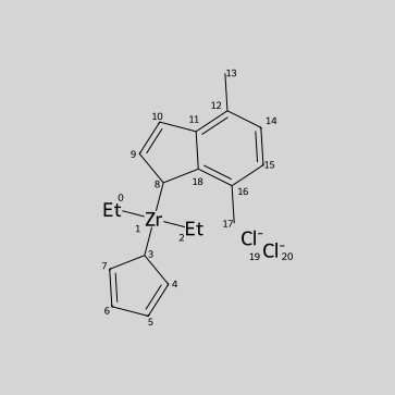 C[CH2][Zr]([CH2]C)([CH]1C=CC=C1)[CH]1C=Cc2c(C)ccc(C)c21.[Cl-].[Cl-]